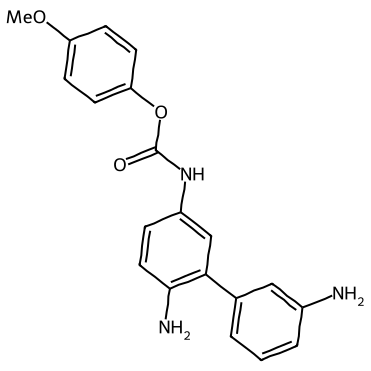 COc1ccc(OC(=O)Nc2ccc(N)c(-c3cccc(N)c3)c2)cc1